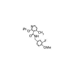 COc1ccc(CNC(=O)c2c(C)ccnc2OC(C)C)cc1F